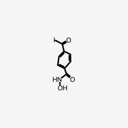 O=C(I)c1ccc(C(=O)NO)cc1